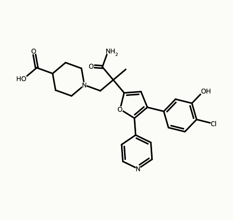 CC(CN1CCC(C(=O)O)CC1)(C(N)=O)c1cc(-c2ccc(Cl)c(O)c2)c(-c2ccncc2)o1